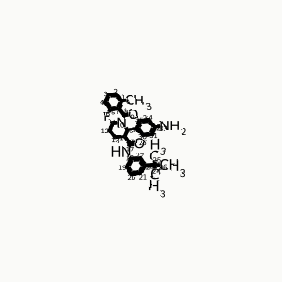 Cc1cccc(F)c1C(=O)N1CCCC(C(=O)Nc2cccc(C(C)(C)C)c2)[C@@H]1c1ccc(N)cc1